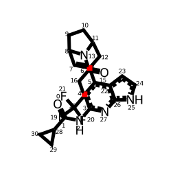 O=C(Nc1cc(C2=CC3CCC(C2)N3C(=O)CCC(F)(F)F)c2cc[nH]c2n1)C1CC1